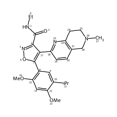 CCNC(=O)c1noc(-c2cc(C(C)C)c(OC)cc2OC)c1-c1ccc2c(n1)CCN(C)C2